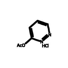 CC(=O)Oc1cccnn1.Cl